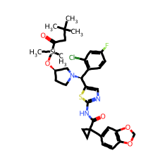 CC(C)(C)CC(=O)[Si](C)(C)O[C@@H]1CCN([C@H](c2cnc(NC(=O)C3(c4ccc5c(c4)OCO5)CC3)s2)c2ccc(F)cc2Cl)C1